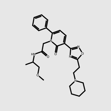 COCC(C)NC(=O)Cn1c(-c2ccccc2)ccc(-c2noc(CCN3CCCCC3)n2)c1=O